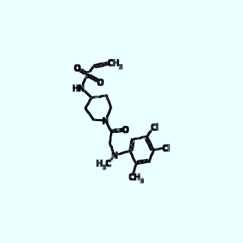 C=CS(=O)(=O)NC1CCN(C(=O)CN(C)c2cc(Cl)c(Cl)cc2C)CC1